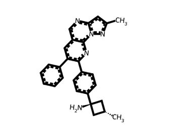 Cc1cc2ncc3cc(-c4ccccc4)c(-c4ccc([C@]5(N)C[C@H](C)C5)cc4)nc3n2n1